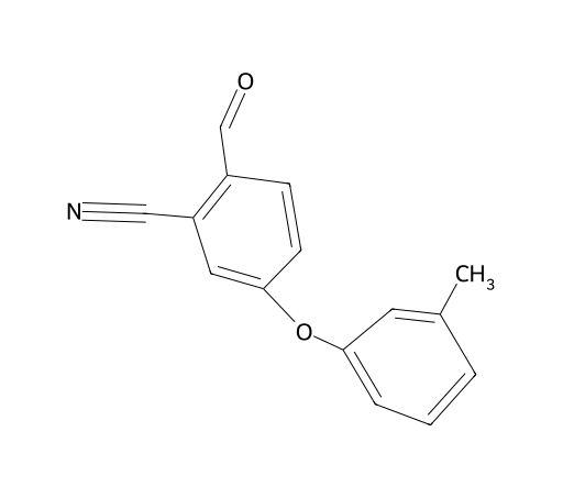 Cc1cccc(Oc2ccc(C=O)c(C#N)c2)c1